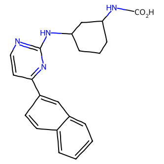 O=C(O)NC1CCCC(Nc2nccc(-c3ccc4ccccc4c3)n2)C1